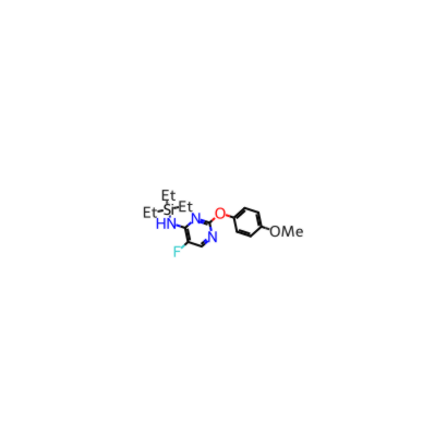 CC[Si](CC)(CC)Nc1nc(Oc2ccc(OC)cc2)ncc1F